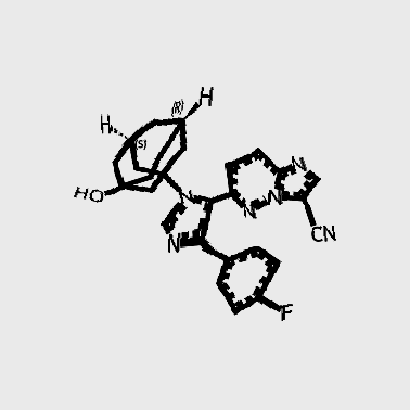 N#Cc1cnc2ccc(-c3c(-c4ccc(F)cc4)ncn3C34C[C@@H]5C[C@@H](CC(O)(C5)C3)C4)nn12